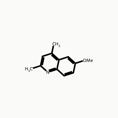 COc1ccc2nc(C)cc(C)c2c1